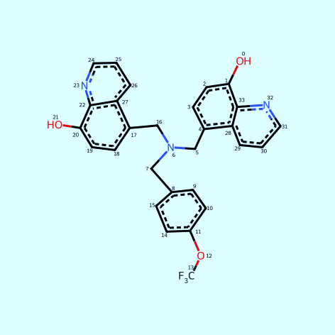 Oc1ccc(CN(Cc2ccc(OC(F)(F)F)cc2)Cc2ccc(O)c3ncccc23)c2cccnc12